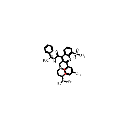 CCCN(CC)C1CCN(Cc2c(-c3cccc(C(F)(F)F)c3)nc3c(S(C)(=O)=O)cccc3c2C(=O)N[C@H](c2ccccc2)C(F)(F)F)CC1